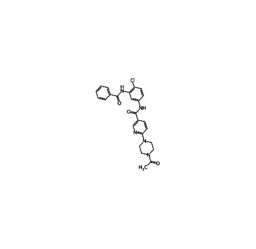 CC(=O)N1CCN(c2ccc(C(=O)Nc3ccc(Cl)c(NC(=O)c4ccccc4)c3)cn2)CC1